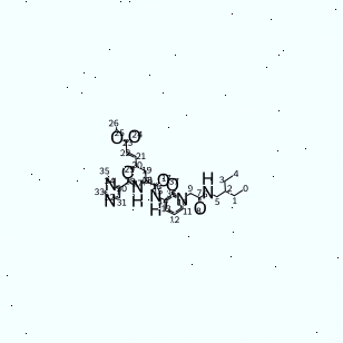 CCC(CC)CNC(=O)Cn1cccc(NC(=O)[C@H](CCC=CC(=O)OC)NC(=O)c2cncn2C)c1=O